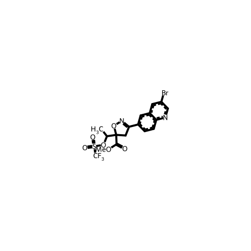 COC(=O)C1(C(C)OS(=O)(=O)C(F)(F)F)CC(c2ccc3ncc(Br)cc3c2)=NO1